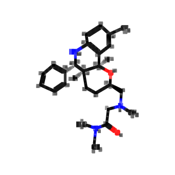 CN(CC(=O)N(C)C)C[C@H]1CC[C@@H]2[C@H](O1)c1cc(C(F)(F)F)ccc1N[C@H]2c1ccccc1